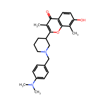 Cc1c(C2CCCN(Cc3ccc(N(C)C)cc3)C2)oc2c(C)c(O)ccc2c1=O